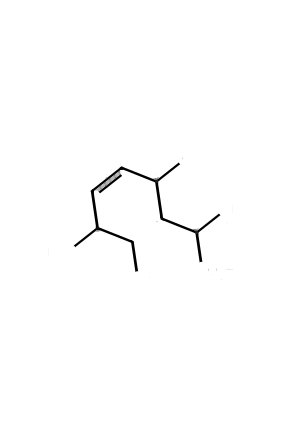 CC(C)CC(C)/C=C\C(C)CC(C)C(=O)O